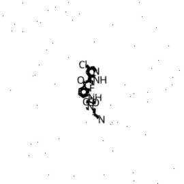 CN(CCC#N)S(=O)(=O)Nc1cccc(C(=O)c2c[nH]c3ncc(Cl)cc23)c1F